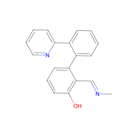 C/N=C/c1c(O)cccc1-c1ccccc1-c1ccccn1